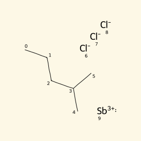 CCCC(C)C.[Cl-].[Cl-].[Cl-].[Sb+3]